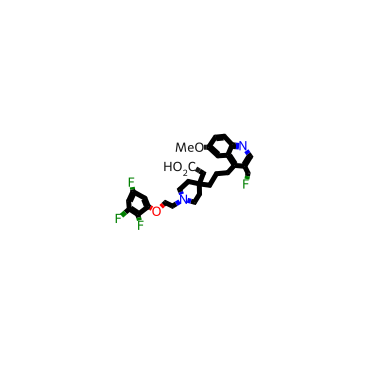 COc1ccc2ncc(CF)c(CCCC3(CC(=O)O)CCN(CCOc4cc(F)cc(F)c4F)CC3)c2c1